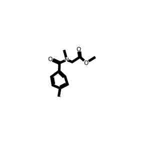 [CH2]c1ccc(C(=O)N(C)CC(=O)OC)cc1